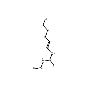 CCCC/C=C/OC(C)OCC